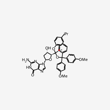 COc1ccc(C(OC(Oc2ccc(C(C)C)cc2)(C(C)=O)[C@H]2O[C@@H](n3cnc4c(=O)[nH]c(N)nc43)C[C@@H]2O)(c2ccccc2)c2ccc(OC)cc2)cc1